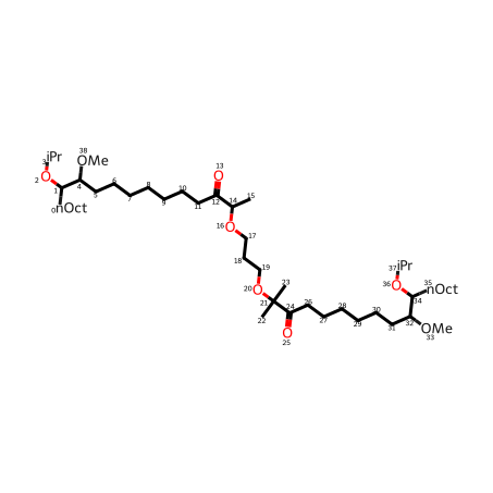 CCCCCCCCC(OC(C)C)C(CCCCCCCC(=O)C(C)OCCCOC(C)(C)C(=O)CCCCCCC(OC)C(CCCCCCCC)OC(C)C)OC